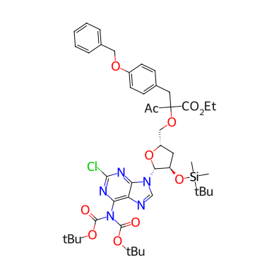 CCOC(=O)C(Cc1ccc(OCc2ccccc2)cc1)(OC[C@@H]1C[C@@H](O[Si](C)(C)C(C)(C)C)[C@H](n2cnc3c(N(C(=O)OC(C)(C)C)C(=O)OC(C)(C)C)nc(Cl)nc32)O1)C(C)=O